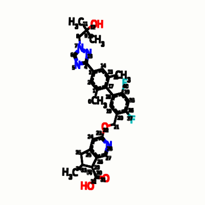 Cc1cc(-c2ncn(CC(C)(C)O)n2)cc(C)c1-c1cc(COc2cc3c(cn2)[C@@H](C(=O)O)C(C)C3)c(F)cc1F